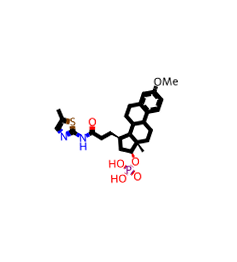 COc1ccc2c(c1)CCC1C2CC[C@@]2(C)C1[C@H](CCC(=O)Nc1ncc(C)s1)C[C@@H]2OP(=O)(O)O